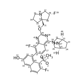 CS(=O)(=O)c1c(F)ccc2cc(O)cc(-c3ccc4c(N5C[C@H]6CC[C@@H](C5)N6)nc(OC[C@@]56CCCN5C[C@H](F)C6)nc4c3F)c12